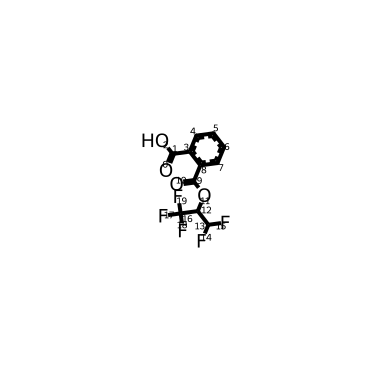 O=C(O)c1ccccc1C(=O)OC(C(F)F)C(F)(F)F